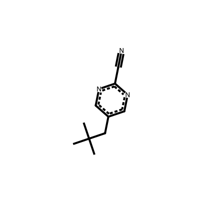 CC(C)(C)Cc1cnc(C#N)nc1